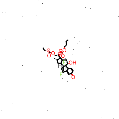 CCCCOC(=O)O[C@]1(C(=O)COC(=O)OCC)[C@H](C)C[C@H]2[C@@H]3C[C@H](F)C4=CC(=O)C=C[C@]4(C)[C@@]3(F)[C@@H](O)C[C@@]21C